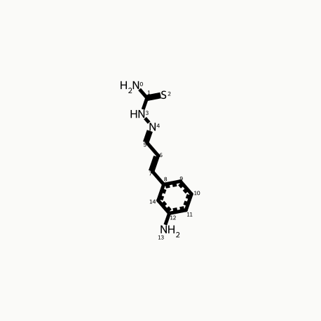 NC(=S)NN=CC=Cc1cccc(N)c1